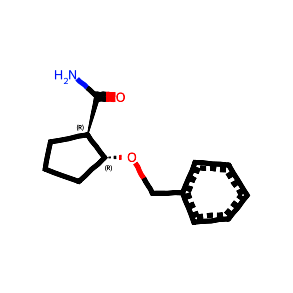 NC(=O)[C@@H]1CCC[C@H]1OCc1ccccc1